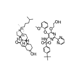 CC(C)CCC[C@@H](C)[C@H]1CC[C@H]2[C@@H]3C(=O)C=C4C[C@@H](O)CC[C@]4(C)[C@H]3CC[C@]12C.COc1ccccc1Oc1c(NS(=O)(=O)c2ccc(C(C)(C)C)cc2)nc(-c2ncccn2)nc1OCCO